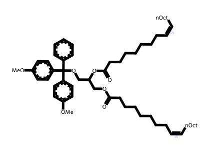 CCCCCCCC/C=C\CCCCCCCC(=O)OCC(COC(c1ccccc1)(c1ccc(OC)cc1)c1ccc(OC)cc1)OC(=O)CCCCCCC/C=C\CCCCCCCC